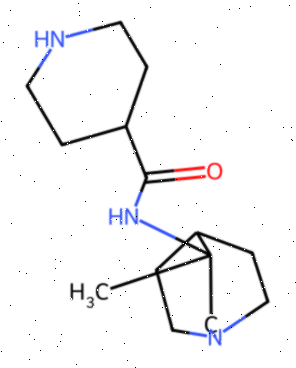 CC1(NC(=O)C2CCNCC2)CN2CCC1CC2